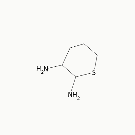 NC1CCCSC1N